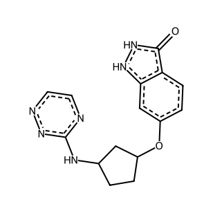 O=c1[nH][nH]c2cc(OC3CCC(Nc4nccnn4)C3)ccc12